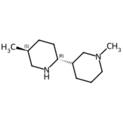 C[C@H]1CC[C@H](C2CCCN(C)C2)NC1